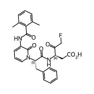 Cc1cccc(C)c1C(=O)Nc1cccn([C@@H](Cc2ccccc2)C(=O)N[C@H](CC(=O)O)C(=O)CF)c1=O